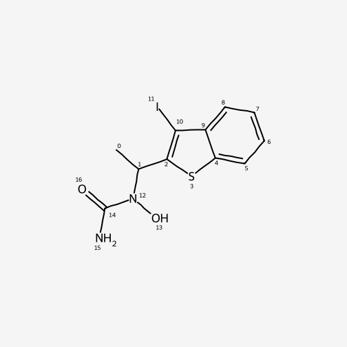 CC(c1sc2ccccc2c1I)N(O)C(N)=O